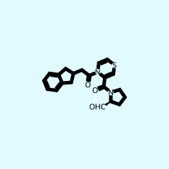 O=C[C@@H]1CCCN1C(=O)C1=CSC=CN1C(=O)CC1Cc2ccccc2C1